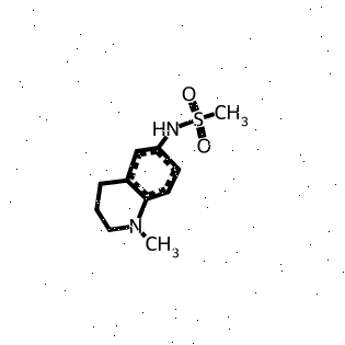 CN1CCCc2cc(NS(C)(=O)=O)ccc21